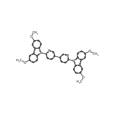 COc1ccc2c(c1)c1cc(OC)ccc1n2-c1ccc(-c2ccc(-n3c4ccc(OC)cc4c4cc(OC)ccc43)nc2)cn1